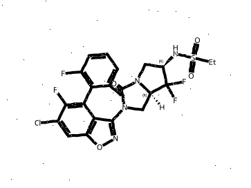 CCS(=O)(=O)N[C@@H]1CN2C(=O)N(c3noc4cc(Cl)c(F)c(-c5c(F)cccc5F)c34)C[C@@H]2C1(F)F